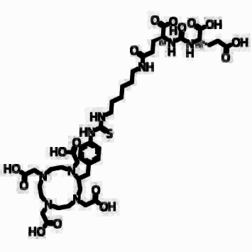 O=C(O)CC[C@H](NC(=O)N[C@@H](CCC(=O)NCCCCCCNC(=S)Nc1ccc(CC2CN(CC(=O)O)CCN(CC(=O)O)CCN(CC(=O)O)CCN2CC(=O)O)cc1)C(=O)O)C(=O)O